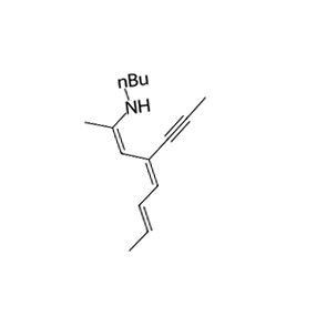 CC#CC(/C=C(/C)NCCCC)=C/C=C/C